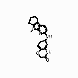 Cn1c2c(c3ccc(NC4C=C5NC(=O)COC5=CC4)nc31)CCCC2